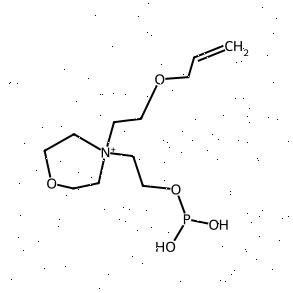 C=CCOCC[N+]1(CCOP(O)O)CCOCC1